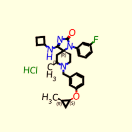 C[C@@H]1C[C@@H]1Oc1cccc(CN2CC[C@@]3(C[C@@H]2C)C(NC2CCC2)=NC(=O)N3c2cccc(F)c2)c1.Cl